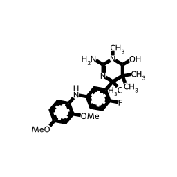 COc1ccc(Nc2ccc(F)c(C3(C)N=C(N)N(C)C(O)C3(C)C)c2)c(OC)c1